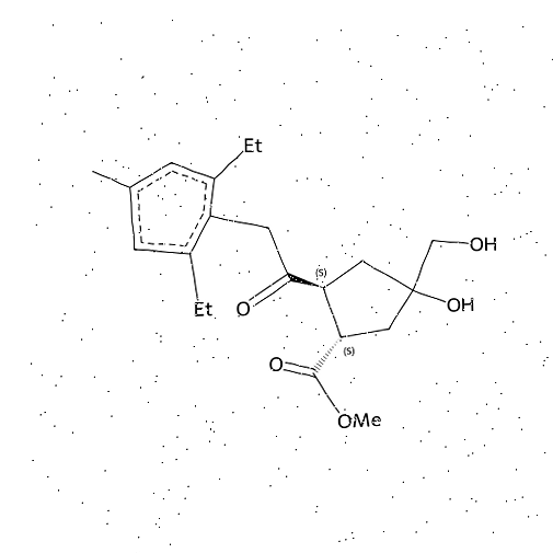 CCc1cc(C)cc(CC)c1CC(=O)[C@H]1CC(O)(CO)C[C@@H]1C(=O)OC